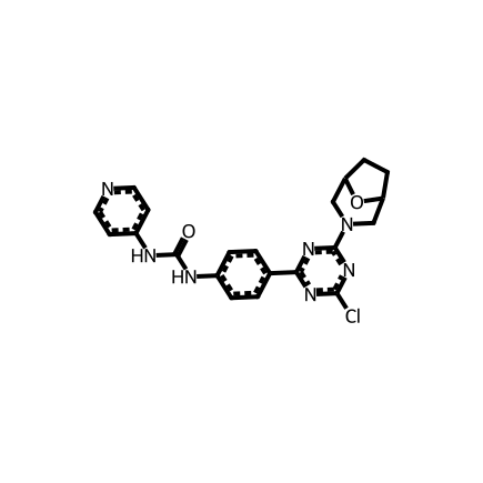 O=C(Nc1ccncc1)Nc1ccc(-c2nc(Cl)nc(N3CC4CCC(C3)O4)n2)cc1